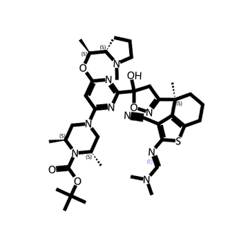 C[C@H](Oc1cc(N2C[C@H](C)N(C(=O)OC(C)(C)C)[C@@H](C)C2)nc(C2(O)CC([C@@]3(C)CCCc4sc(/N=C/N(C)C)c(C#N)c43)=NO2)n1)[C@@H]1CCCN1C